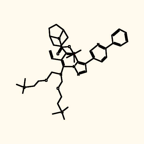 C=Cc1c(C2CC3CCC(C2)N3C(=O)OC(C)(C)C)nc2c(-c3ccc(-c4ccccc4)nc3)cnn2c1N(COCC[Si](C)(C)C)COCC[Si](C)(C)C